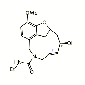 CCNC(=O)N1C/C=C/[C@H](O)CC2Cc3c(ccc(OC)c3O2)C1